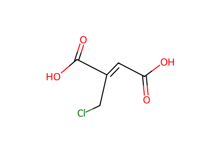 O=C(O)C=C(CCl)C(=O)O